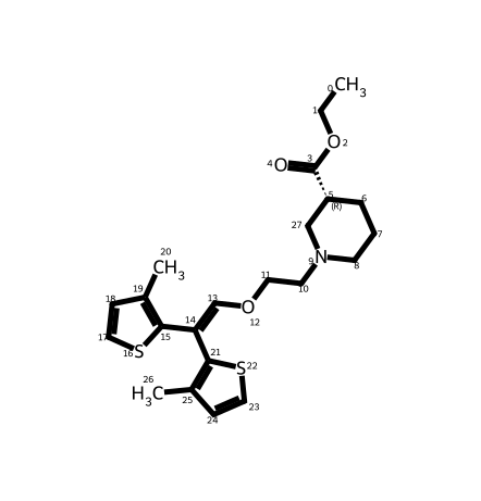 CCOC(=O)[C@@H]1CCCN(CCOC=C(c2sccc2C)c2sccc2C)C1